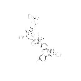 CCC(=O)OC(C)ON=[N+]([O-])N(C)[C@H](COC(=O)NS(=O)(=O)c1ccc(-n2nc(C(F)(F)F)cc2-c2ccc(C)cc2)cc1)C(C)C